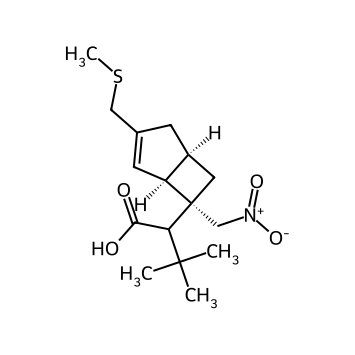 CSCC1=C[C@H]2[C@@H](C1)C[C@@]2(C[N+](=O)[O-])C(C(=O)O)C(C)(C)C